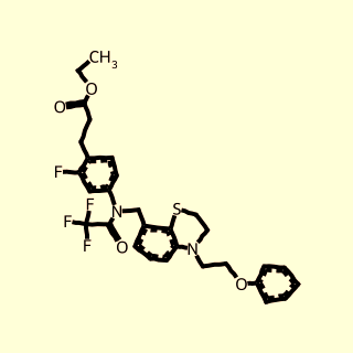 CCOC(=O)CCc1ccc(N(Cc2cccc3c2SCCN3CCOc2ccccc2)C(=O)C(F)(F)F)cc1F